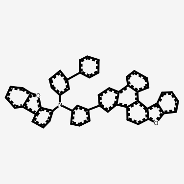 c1ccc(-c2cccc(N(c3cccc(-c4ccc5c6ccccc6c6c(ccc7oc8ccccc8c76)c5c4)c3)c3cccc4c3oc3ccccc34)c2)cc1